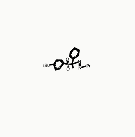 CC(C)/N=N/C(C)(c1ccccc1)S(=O)(=O)c1ccc(C(C)(C)C)cc1